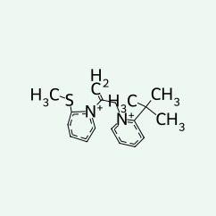 C=C(C[n+]1ccccc1C(C)(C)C)[n+]1ccccc1SC